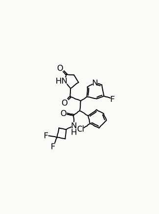 O=C1CCC(C(=O)C(c2cncc(F)c2)C(C(=O)NC2CC(F)(F)C2)c2ccccc2Cl)N1